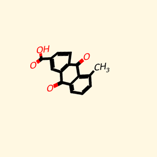 Cc1cccc2c1C(=O)c1ccc(C(=O)O)cc1C2=O